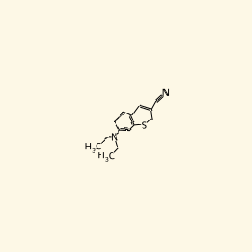 CCN(CC)c1ccc2c(c1)SCC(C#N)=C2